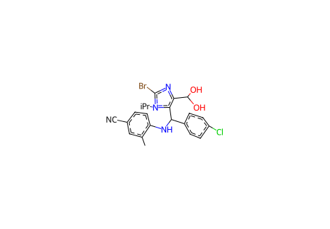 Cc1cc(C#N)ccc1NC(c1ccc(Cl)cc1)c1c(C(O)O)nc(Br)n1C(C)C